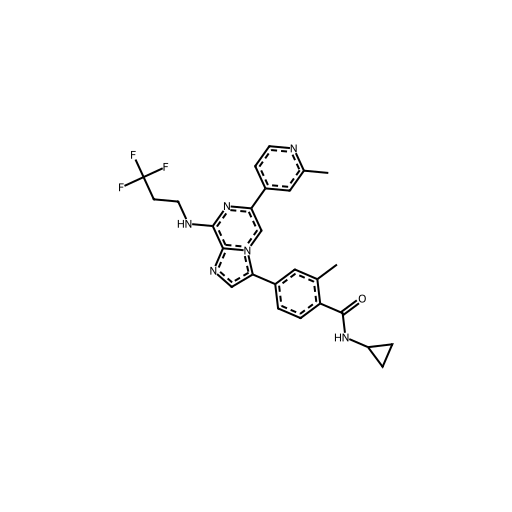 Cc1cc(-c2cn3c(-c4ccc(C(=O)NC5CC5)c(C)c4)cnc3c(NCCC(F)(F)F)n2)ccn1